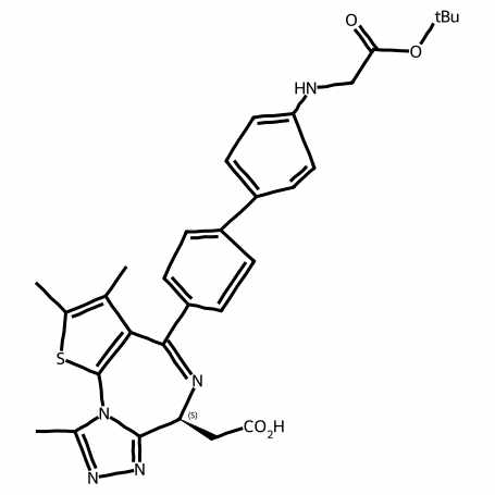 Cc1sc2c(c1C)C(c1ccc(-c3ccc(NCC(=O)OC(C)(C)C)cc3)cc1)=N[C@@H](CC(=O)O)c1nnc(C)n1-2